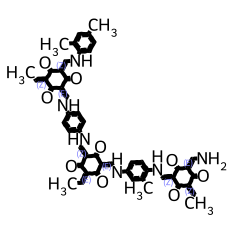 C/C=C1\C(=O)/C(=C/Nc2ccc(N/C=C3/C(=O)/C(=C\Nc4ccc(N/C=C5\C(=O)/C(=C/C)C(=O)/C(=C/Nc6ccc(C)cc6C)C5=O)cc4)C(=O)/C(=C\C)C3=O)cc2C)C(=O)/C(=C/N)C1=O